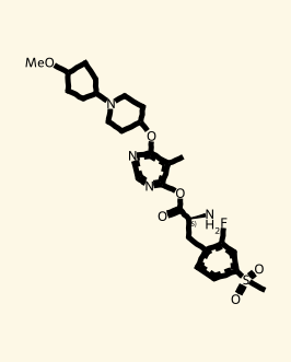 COC1CCC(N2CCC(Oc3ncnc(OC(=O)[C@@H](N)Cc4ccc(S(C)(=O)=O)cc4F)c3C)CC2)CC1